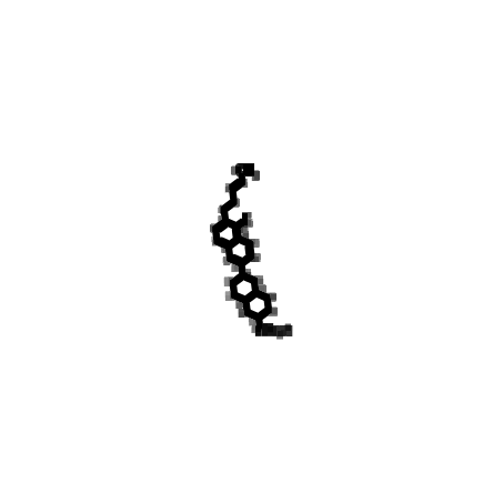 CC=CCCc1ccc2cc(C3CCC4CC(CCCCCCC)CCC4C3)ccc2c1F